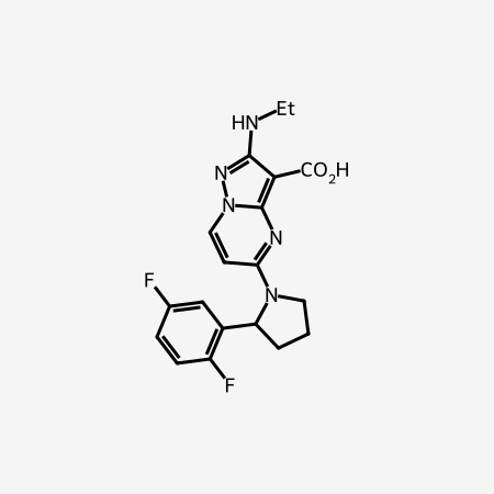 CCNc1nn2ccc(N3CCCC3c3cc(F)ccc3F)nc2c1C(=O)O